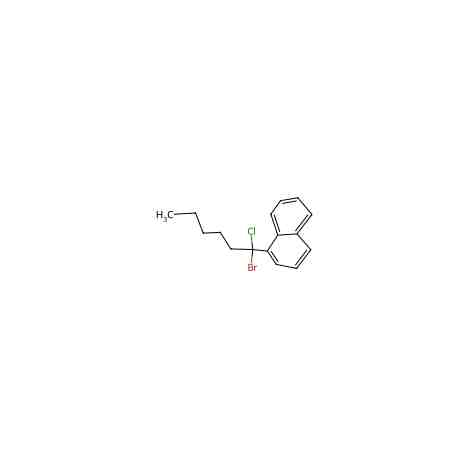 CCCCCC(Cl)(Br)c1cccc2ccccc12